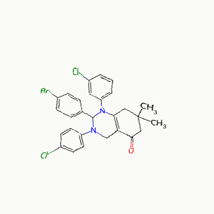 CC1(C)CC(=O)C2=C(C1)N(c1cccc(Cl)c1)C(c1ccc(Br)cc1)N(c1ccc(Cl)cc1)C2